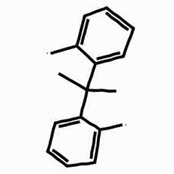 [CH2]c1ccccc1C(C)(C)c1ccccc1[CH2]